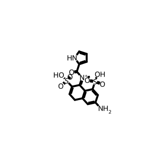 C[N+](C(=O)c1ccc[nH]1)=C1C(S(=O)(=O)O)=CCc2cc(N)cc(S(=O)(=O)O)c21